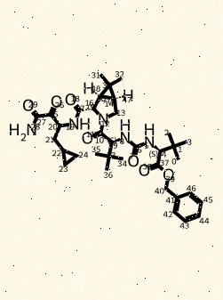 CC(C)(C)[C@H](NC(=O)N[C@H](C(=O)N1C[C@H]2[C@@H]([C@H]1C(=O)NC(CC1CC1)C(=O)C(N)=O)C2(C)C)C(C)(C)C)C(=O)OCc1ccccc1